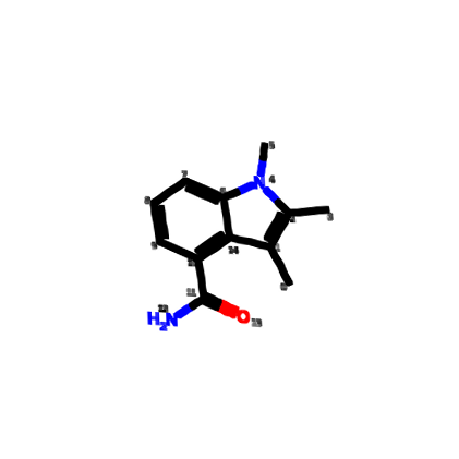 Cc1c(C)n(C)c2cccc(C(N)=O)c12